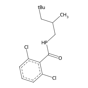 CC(CPC(=O)c1c(Cl)cccc1Cl)CC(C)(C)C